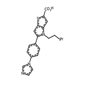 CC(C)CCn1c(-c2ccc(-n3ccnc3)cc2)cc2sc(C(=O)O)cc21